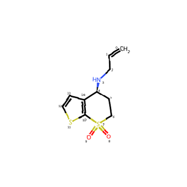 C=CCN[C@H]1CCS(=O)(=O)c2sccc21